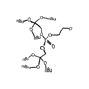 CCCCOC(COP(=O)(OCCCl)OCC(OCCCC)(OCCCC)OCCCC)(OCCCC)OCCCC